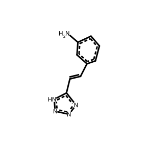 Nc1cccc(C=Cc2nnn[nH]2)c1